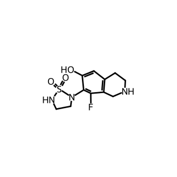 O=S1(=O)NCCN1c1c(O)cc2c(c1F)CNCC2